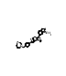 Cn1ncc2ccc(-c3n[nH]c4c3Cc3sc(-c5ccc(CN6CCCOCC6)cc5)cc3-4)cc21